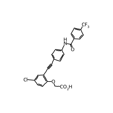 O=C(O)COc1ccc(Cl)cc1C#Cc1ccc(NC(=O)c2ccc(C(F)(F)F)cc2)cc1